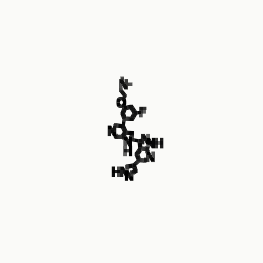 CN(C)CCOc1cc(F)cc(-c2cncc3[nH]c(-c4n[nH]c5ncc(-c6cn[nH]c6)cc45)cc23)c1